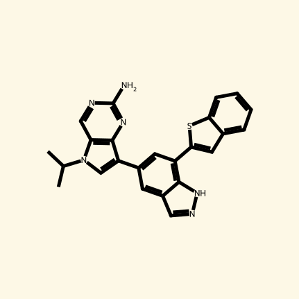 CC(C)n1cc(-c2cc(-c3cc4ccccc4s3)c3[nH]ncc3c2)c2nc(N)ncc21